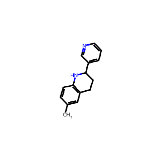 Cc1ccc2c(c1)CCC(c1cccnc1)N2